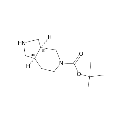 CC(C)(C)OC(=O)N1CC[C@H]2CNC[C@H]2C1